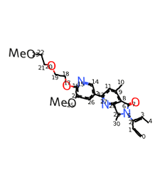 C=C/C(=C\C)N1C(=O)c2c(C)cc(-c3cnc(OCCOCCOC)c(OC)c3)nc2C1C